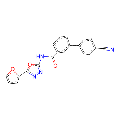 N#Cc1ccc(-c2cccc(C(=O)Nc3nnc(-c4ccco4)o3)c2)cc1